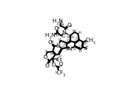 CC[C@@]1(OC(=O)C(F)(F)F)C(=O)OCc2c1cc1n(c2=O)Cc2c-1nc1cc(F)c(C)c3c1c2[C@@H](N(CC(N)=O)C(=O)CN)CC3